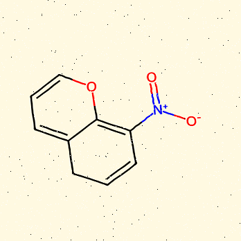 O=[N+]([O-])C1=C2OC=CC=C2CC=C1